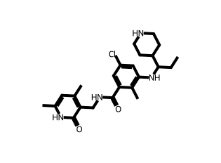 CCC(Nc1cc(Cl)cc(C(=O)NCc2c(C)cc(C)[nH]c2=O)c1C)C1CCNCC1